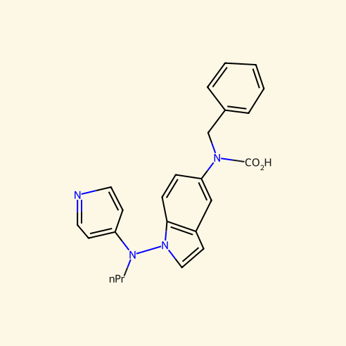 CCCN(c1ccncc1)n1ccc2cc(N(Cc3ccccc3)C(=O)O)ccc21